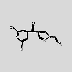 C=Cn1cc(C(=O)c2cc(Cl)nc(Cl)c2)cn1